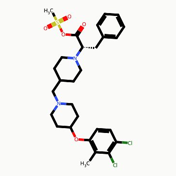 Cc1c(OC2CCN(CC3CCN([C@@H](Cc4ccccc4)C(=O)OS(C)(=O)=O)CC3)CC2)ccc(Cl)c1Cl